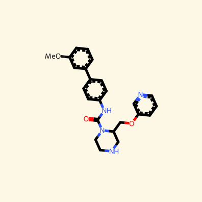 COc1cccc(-c2ccc(NC(=O)N3CCNCC3COc3cccnc3)cc2)c1